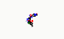 CC(=O)N1CCC(c2nc(-c3cncc(C(O)(c4ccc(C(C)C)cc4)C4(F)CN(C)C4)c3)no2)CC1